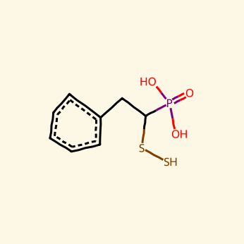 O=P(O)(O)C(Cc1ccccc1)SS